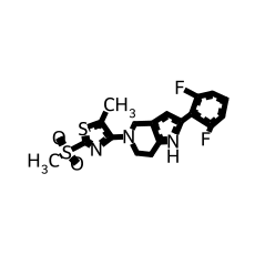 Cc1sc(S(C)(=O)=O)nc1N1CCc2[nH]c(-c3c(F)cccc3F)cc2C1